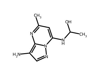 Cc1cc(NC(C)O)n2ncc(N)c2n1